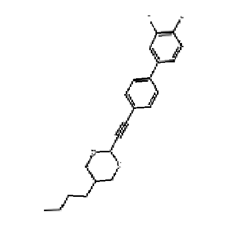 CCCCC1COC(C#Cc2ccc(-c3ccc(F)c(F)c3)cc2)OC1